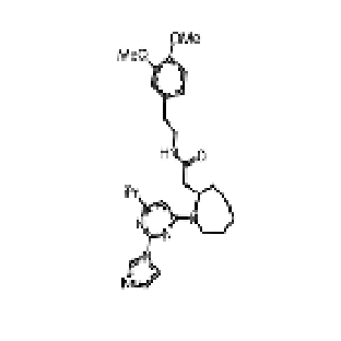 COc1ccc(CCNC(=O)CC2CCCCCN2c2cc(C(C)C)nc(-n3ccnc3)n2)cc1OC